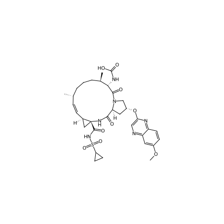 COc1ccc2nc(O[C@@H]3C[C@H]4C(=O)N[C@]5(C(=O)NS(=O)(=O)C6CC6)C[C@H]5C=C[C@H](C)CCC[C@@H](C)[C@H](NC(=O)O)C(=O)N4C3)cnc2c1